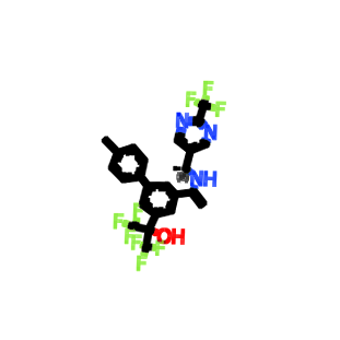 C=C(N[C@H](C)c1cnc(C(F)(F)F)nc1)c1cc(-c2ccc(C)cc2)cc(C(O)(C(F)(F)F)C(F)(F)F)c1